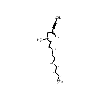 CC#CC(=O)CN(C)CCOCCOCCCN